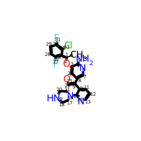 C[C@@H](Oc1c(N)ncc2c(-c3cccnc3N3CCNCC3)coc12)c1c(F)ccc(F)c1Cl